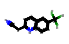 N#CCc1ccc2cc(C(F)(F)F)ccc2n1